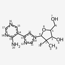 CC1(F)C(O)C(CO)OC1n1cnc(-c2cncnc2N)c1